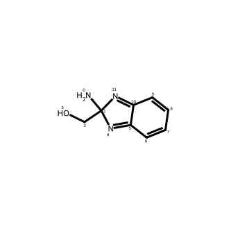 NC1(CO)N=c2ccccc2=N1